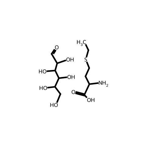 CCSCCC(N)C(=O)O.O=CC(O)C(O)C(O)C(O)CO